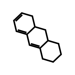 C1=CCC2CC3CCCCC3=CC2=C1